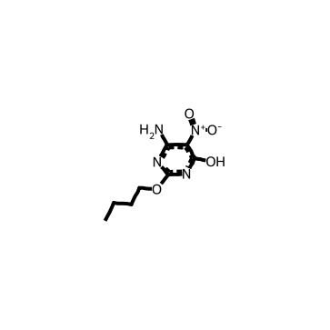 CCCCOc1nc(N)c([N+](=O)[O-])c(O)n1